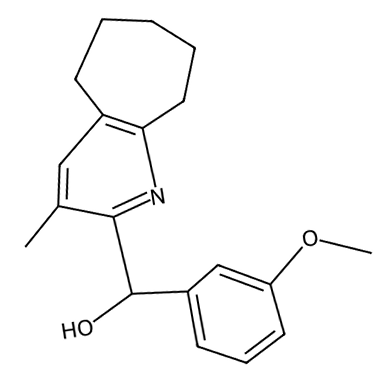 COc1cccc(C(O)c2nc3c(cc2C)CCCCC3)c1